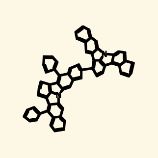 c1ccc(-c2c3ccccc3cc3c2c2cccc4c5c(-c6ccccc6)c6ccc(-c7ccc8c9c%10ccccc%10ccc9n9c%10cc%11ccccc%11cc%10c7c89)cc6cc5n3c24)cc1